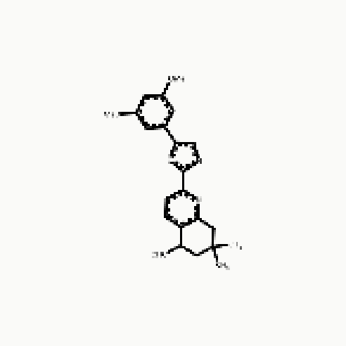 COc1cc(OC)cc(-c2cnc(-c3ccc4c(n3)CC(C)(C)CC4C=O)s2)c1